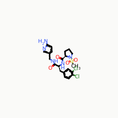 CS(=O)(=O)N1CCC[C@@H]1C(=O)N[C@@H](Cc1ccc(Cl)c(Cl)c1)C(=O)NCc1ccc(N)nc1